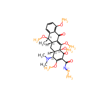 CN(C)[C@@H]1C(OP)=C(C(=O)/N=P/P)C(=O)[C@@]2(OP)C(OP)=C3C(=O)c4c(OP)cccc4[C@@](C)(OP)[C@H]3C[C@@H]12